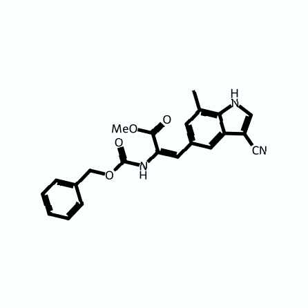 COC(=O)/C(=C\c1cc(C)c2[nH]cc(C#N)c2c1)NC(=O)OCc1ccccc1